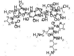 CC(C)C[C@H](NC(=O)[C@@H]1CCCN1C(=O)[C@H](CCCCN)NC(=O)[C@@H](N)CCCCN)C(=O)N[C@H](C(=O)N[C@@H](CO)C(=O)N[C@@H](CO)C(=O)N[C@@H](CO)C(=O)N[C@@H](C)C(=O)N[C@@H](C)C(=O)N1CCC[C@H]1C(=O)O)[C@@H](C)O